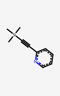 C[Si](C)(C)C#Cc1ccc[c]n1